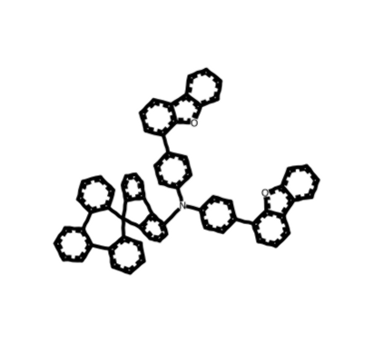 c1ccc2c(c1)-c1ccccc1C1(c3ccccc3-2)c2ccccc2-c2c(N(c3ccc(-c4cccc5c4oc4ccccc45)cc3)c3ccc(-c4cccc5c4oc4ccccc45)cc3)cccc21